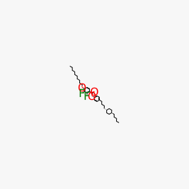 CCCCCCCCCCOc1ccc(C(=O)Oc2ccc(CCCC[C@H]3CC[C@H](CCCCC)CC3)cc2)c(F)c1F